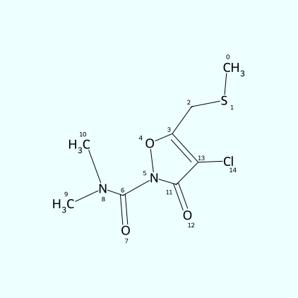 CSCc1on(C(=O)N(C)C)c(=O)c1Cl